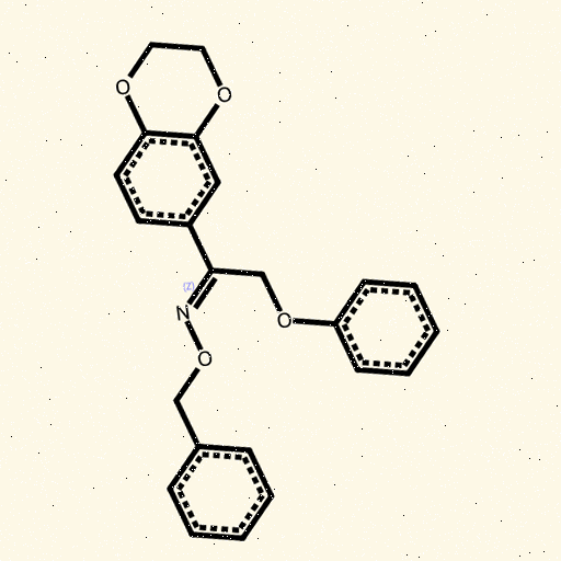 c1ccc(CO/N=C(\COc2ccccc2)c2ccc3c(c2)OCCO3)cc1